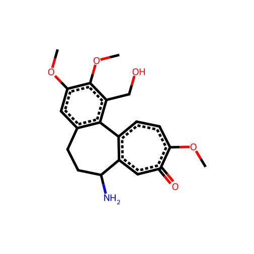 COc1cc2c(c(CO)c1OC)-c1ccc(OC)c(=O)cc1C(N)CC2